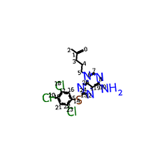 C=C(C)CCCn1cnc(N)c2nc(Sc3cc(Cl)c(Cl)cc3Cl)nc1-2